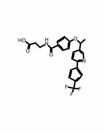 CC(Oc1ccc(C(=O)NCCC(=O)O)cc1)c1ccc(-c2ccc(C(F)(F)F)cc2)nc1